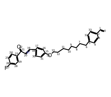 C=Cc1ccc(CCCCCCCCOc2ccc(/C=C/C(=O)c3ccc(F)cc3)cc2)cc1